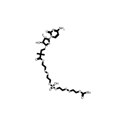 CC(C)(C)C(=O)OCCSSCCOP(=O)(O)OCCSSCCOC(=O)C(C)(C)CC[C@H]1S[C@@H](n2ccc(N)nc2=O)[C@@H](F)[C@@H]1O